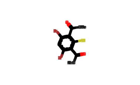 COC(=O)c1c(Br)cc(Br)c(C(=O)OC)c1S